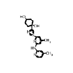 Cc1ccnc(Nc2cc(C)cc(-n3cnc([C@]4(O)CC[C@H](O)CC4)c3)n2)c1